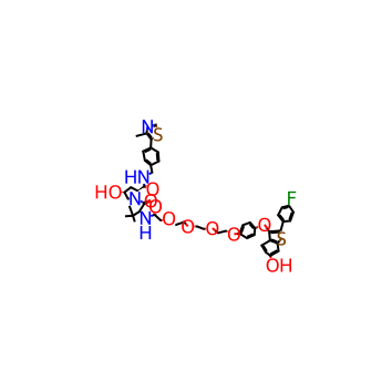 Cc1ncsc1-c1ccc(CNC(=O)[C@@H]2C[C@@H](O)CN2C(=O)[C@@H](NC(=O)COCCOCCOCCOc2ccc(Oc3c(-c4ccc(F)cc4)sc4cc(O)ccc34)cc2)C(C)(C)C)cc1